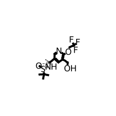 C[C@@H](N[S+]([O-])C(C)(C)C)c1cnc(OCC(F)(F)F)c(CO)c1